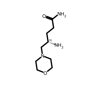 NC(=O)CC[C@H](N)CN1CCOCC1